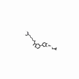 CN/C=C(\C=N)CCCCC(=O)c1c[nH]c2ccc(-c3ccc4nc(NC(=O)C5CC5)sc4c3)cc12